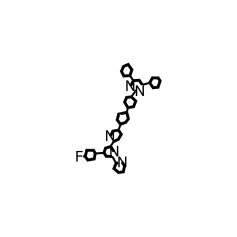 Fc1ccc(-c2cc(-c3ccccn3)nc(-c3ccc(-c4ccc(-c5ccc(-c6nc(-c7ccccc7)cc(-c7ccccc7)n6)cc5)cc4)cn3)c2)cc1